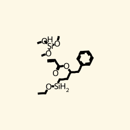 C=CC(=O)OC(CC[SiH2]OCC)Cc1ccccc1.CO[SiH](OC)OC